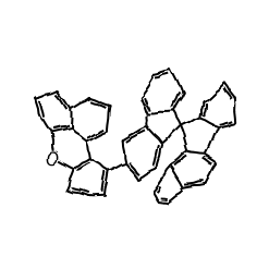 c1ccc2c(c1)-c1cc(-c3cccc4c3-c3cccc5cccc(c35)O4)ccc1C21c2ccccc2-c2ccc3ccccc3c21